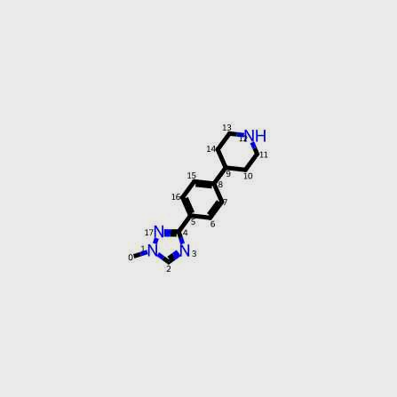 Cn1cnc(-c2ccc(C3CCNCC3)cc2)n1